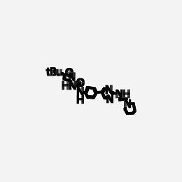 CC(C)(C)c1cc(NC(=O)Nc2ccc(-c3cnc(NCCN4CCCCC4)nc3)cc2)no1